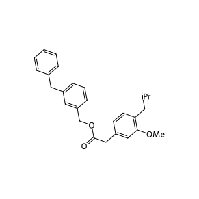 COc1cc(CC(=O)OCc2cccc(Cc3ccccc3)c2)ccc1CC(C)C